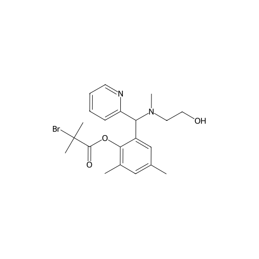 Cc1cc(C)c(OC(=O)C(C)(C)Br)c(C(c2ccccn2)N(C)CCO)c1